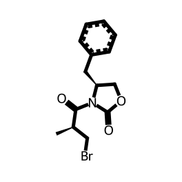 C[C@H](CBr)C(=O)N1C(=O)OC[C@@H]1Cc1ccccc1